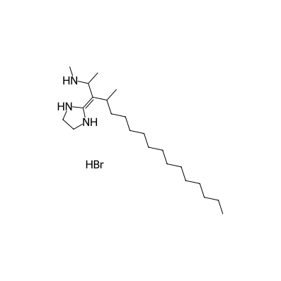 Br.CCCCCCCCCCCCCC(C)C(=C1NCCN1)C(C)NC